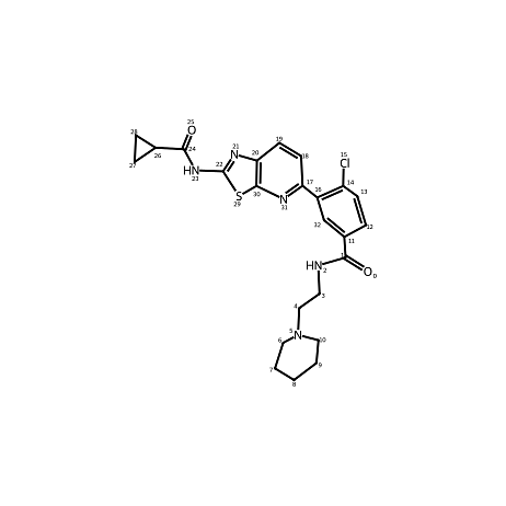 O=C(NCCN1CCCCC1)c1ccc(Cl)c(-c2ccc3nc(NC(=O)C4CC4)sc3n2)c1